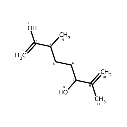 C=C(O)C(C)CCC(O)C(=C)C